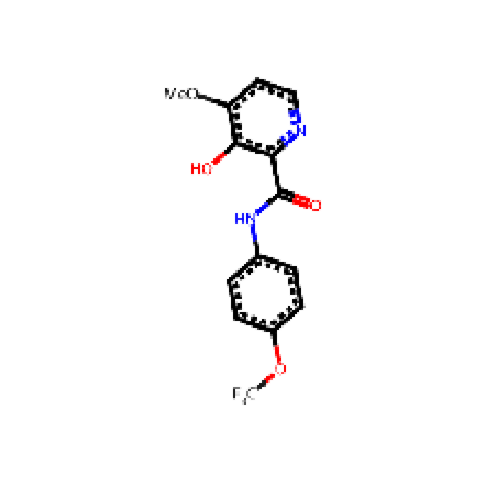 COc1ccnc(C(=O)Nc2ccc(OC(F)(F)F)cc2)c1O